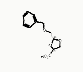 O=C(O)[C@@H]1CO[C@@H](COCc2ccccc2)O1